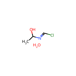 CC(O)N=CCl.O